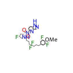 COc1c(F)cc(CCCC(F)(F)CCCC(=O)N2C[C@H](F)C[C@@H]2C(=O)Nc2ccc3[nH]ncc3n2)cc1F